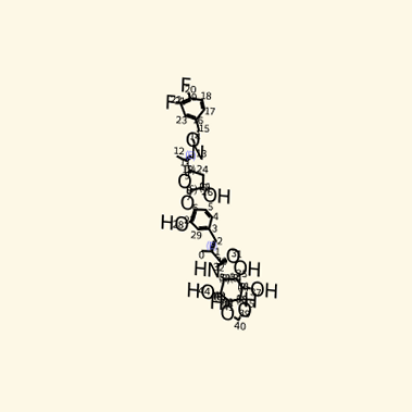 C/C(=C\c1ccc(O[C@@H]2O[C@H](/C(C)=N/OCc3ccc(F)c(F)c3)C[C@@H]2O)c(O)c1)C(=O)N[C@@H]1[C@H](O)[C@@H](O)[C@H]2OCO[C@H]2[C@@H]1O